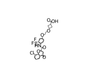 O=C(Nc1ccc(OCCOC2CC(C(=O)O)C2)cc1C(F)(F)F)c1cc(=O)c2cccc(Cl)c2o1